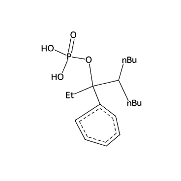 CCCCC(CCCC)C(CC)(OP(=O)(O)O)c1ccccc1